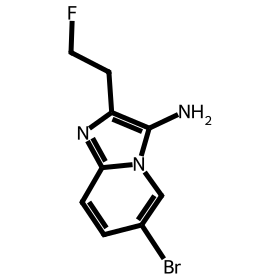 Nc1c(CCF)nc2ccc(Br)cn12